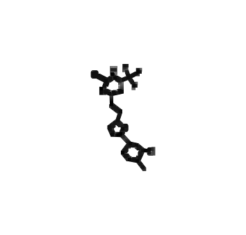 Cc1ccc(-c2ccc(/C=C/c3cc(C(F)(F)F)[nH]c(=O)n3)o2)cc1Cl